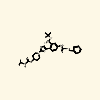 CC(C)NC(=O)OC1CCN(c2ncc(-c3ccc(NC(=O)NCc4ccccc4)cc3[Si](=O)NC(C)(C)C)s2)CC1